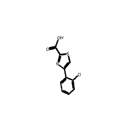 O=C(O)c1nc(-c2ccccc2Cl)cs1